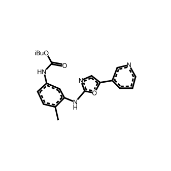 Cc1ccc(NC(=O)OCC(C)C)cc1Nc1ncc(-c2cccnc2)o1